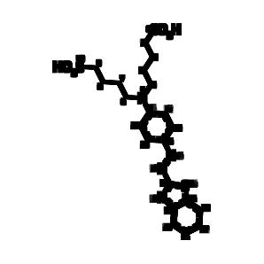 O=S(=O)(O)CCCCN(CCCCS(=O)(=O)O)c1ccc(N=Nc2nc3ccccc3s2)cc1